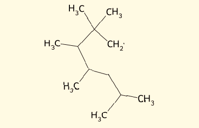 [CH2]C(C)(C)C(C)C(C)CC(C)C